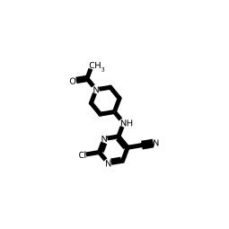 CC(=O)N1CCC(Nc2nc(Cl)ncc2C#N)CC1